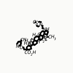 C=C(C)[C@@H]1CC[C@]2(NCCN3CC[S+]([O-])CC3)CC[C@]3(C)[C@H](CC[C@@H]4[C@@]5(C)CC=C(C6=CCC(CCOc7cc(C#N)ccn7)(C(=O)O)CC6)C(C)(C)[C@@H]5CC[C@]43C)[C@@H]12